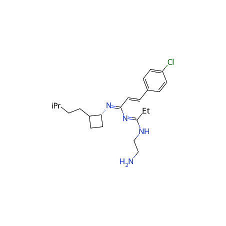 CC\C(=N/C(/C=C/c1ccc(Cl)cc1)=N\[C@@H]1CCC1CCC(C)C)NCCN